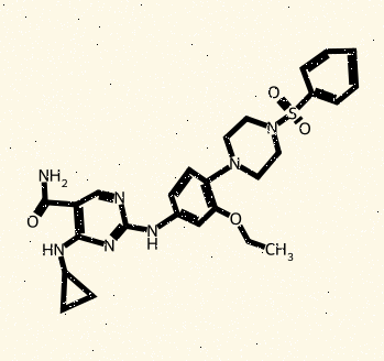 CCOc1cc(Nc2ncc(C(N)=O)c(NC3CC3)n2)ccc1N1CCN(S(=O)(=O)c2ccccc2)CC1